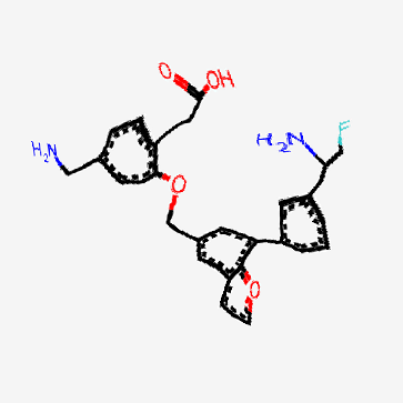 NCc1ccc(CC(=O)O)c(OCc2cc(-c3cccc(C(N)CF)c3)c3occc3c2)c1